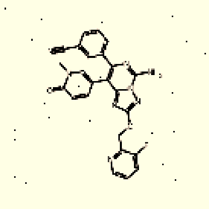 Cn1cc(-c2c(-c3cccc(C#N)c3)nc(N)n3nc(OCc4ncccc4F)nc23)ccc1=O